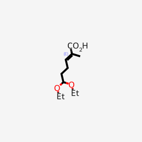 CCOC(CC/C=C(\C)C(=O)O)OCC